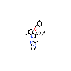 Cc1ccc(OCc2ccccc2)c2c(C(=O)O)cc(-c3nc4ccccn4c3C)nc12